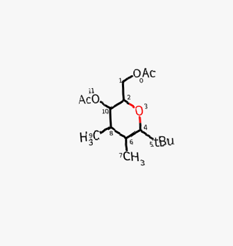 CC(=O)OCC1OC(C(C)(C)C)C(C)C(C)C1OC(C)=O